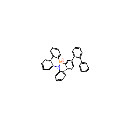 O=P12c3ccccc3-c3ccccc3N1c1ccccc1-c1ccc(-c3ccccc3-c3ccccc3)cc12